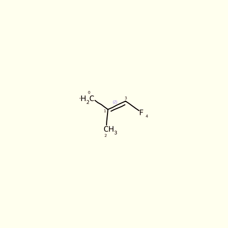 [CH2]/C(C)=C/F